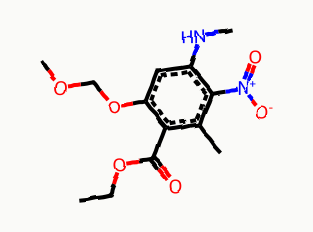 CCOC(=O)c1c(OCOC)cc(NC)c([N+](=O)[O-])c1C